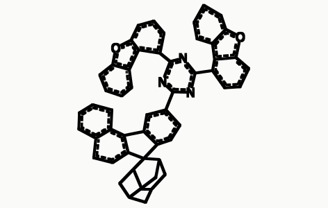 c1ccc2c3c(ccc2c1)C1(c2ccc(-c4nc(-c5cccc6oc7ccccc7c56)nc(-c5cccc6oc7ccccc7c56)n4)cc2-3)C2CC3CC(C2)CC1C3